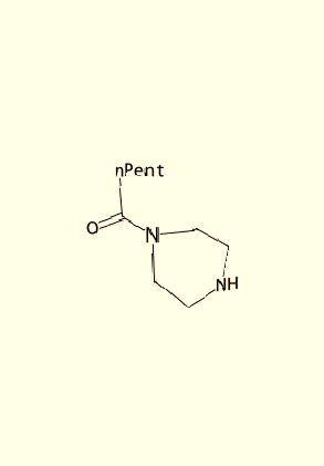 CCCCCC(=O)N1CCNCC1